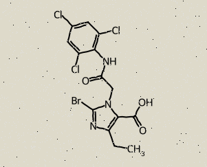 CCc1nc(Br)n(CC(=O)Nc2c(Cl)cc(Cl)cc2Cl)c1C(=O)O